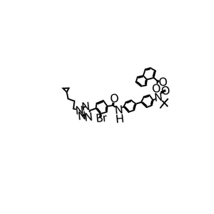 CC(C)(C)N(C(=O)OC(=O)c1cccc2ccccc12)c1ccc(-c2ccc(NC(=O)c3ccc(-c4nnn(CCCC5CC5)n4)c(Br)c3)cc2)cc1